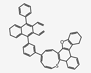 C=Cc1c(C=C)c(-c2cccc(-c3cccsc4c(cc3)-c3oc5c(c3C3C=CC=CC43)CCC=C5)c2)c2c(c1-c1ccccc1)=CCCC=2